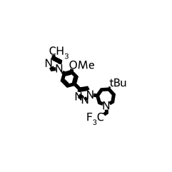 COc1cc(-c2cn(C3C[C@@H](C(C)(C)C)CCN(CC(F)(F)F)C3)nn2)ccc1-n1cnc(C)c1